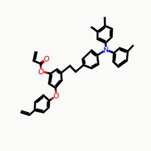 C=CC(=O)Oc1cc(CCc2ccc(N(c3cccc(C)c3)c3ccc(C)c(C)c3)cc2)cc(Oc2ccc(C=C)cc2)c1